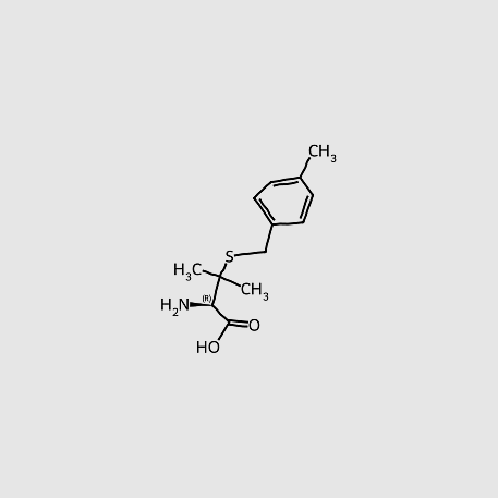 Cc1ccc(CSC(C)(C)[C@H](N)C(=O)O)cc1